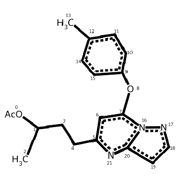 CC(=O)OC(C)CCc1cc(Oc2ccc(C)cc2)n2nccc2n1